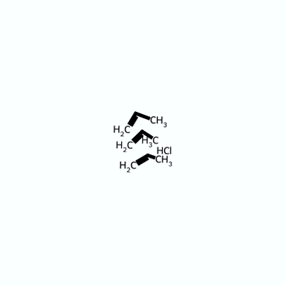 C=CC.C=CC.C=CC.Cl